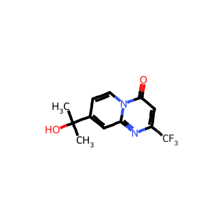 CC(C)(O)c1ccn2c(=O)cc(C(F)(F)F)nc2c1